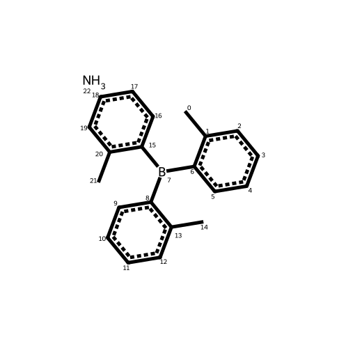 Cc1ccccc1B(c1ccccc1C)c1ccccc1C.N